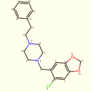 Clc1cc2c(cc1CN1CCN(CCc3ccccc3)CC1)OCO2